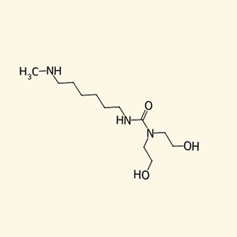 CNCCCCCCNC(=O)N(CCO)CCO